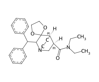 CCN(CC)C(=O)[C@H]1CN2CC[C@H]1C1(OCCO1)C2C(c1ccccc1)c1ccccc1